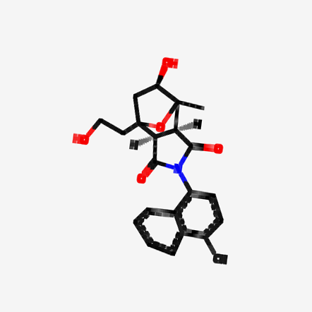 CC12OC(CCO)(C[C@H]1O)[C@@H]1C(=O)N(c3ccc(C#N)c4ccccc34)C(=O)[C@@H]12